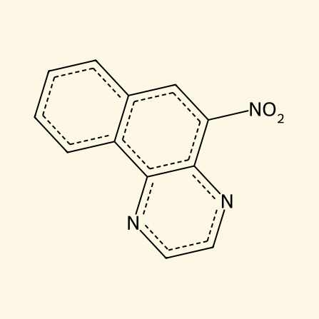 O=[N+]([O-])c1cc2ccccc2c2nccnc12